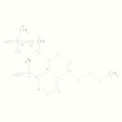 CCCCc1ccc2c3c(cccc13)C(=O)N(OS(C)(=O)=O)C2O